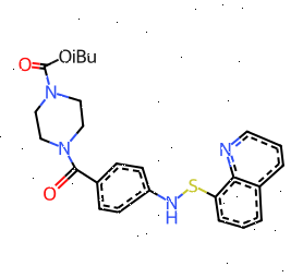 CC(C)COC(=O)N1CCN(C(=O)c2ccc(NSc3cccc4cccnc34)cc2)CC1